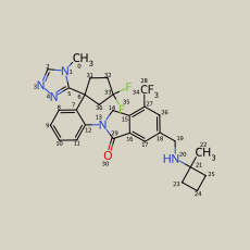 Cn1cnnc1C1(c2ccccc2N2Cc3c(cc(CNC4(C)CCC4)cc3C(F)(F)F)C2=O)CCC(F)(F)C1